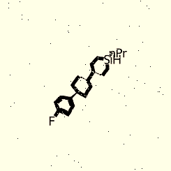 CCC[Si@H]1CC[C@H]([C@H]2CC[C@H](c3ccc(F)cc3)CC2)CC1